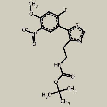 COc1cc(F)c(-c2scnc2CCNC(=O)OC(C)(C)C)cc1[N+](=O)[O-]